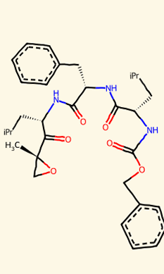 CC(C)C[C@H](NC(=O)OCc1ccccc1)C(=O)N[C@@H](Cc1ccccc1)C(=O)N[C@@H](CC(C)C)C(=O)[C@@]1(C)CO1